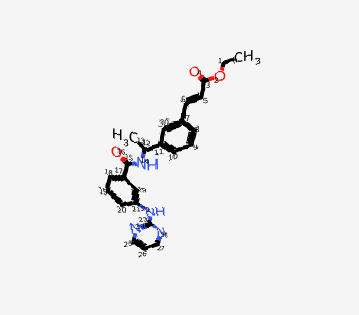 CCOC(=O)C=Cc1cccc(C(C)NC(=O)c2cccc(Nc3ncccn3)c2)c1